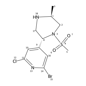 C[C@H]1CN(S(C)(=O)=O)[C@H](c2cc(Cl)nc(Br)c2)CN1